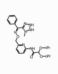 CCCOC(OCCC)C(=O)Nc1cccc(CO/N=C(\C2=NNNN2C)c2ccccc2)n1